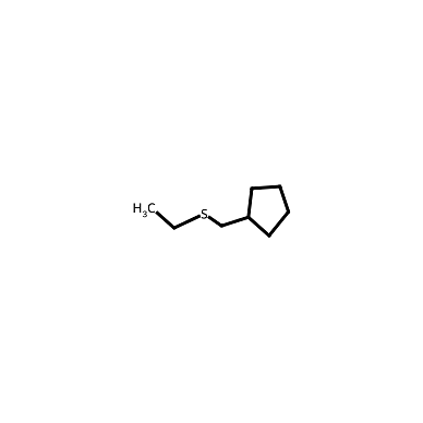 CCSCC1CCCC1